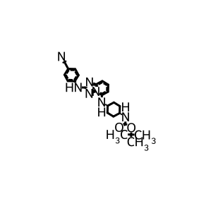 CC(C)(C)OC(=O)N[C@H]1CC[C@@H](Nc2cccc3nc(Nc4ccc(C#N)cc4)nn23)CC1